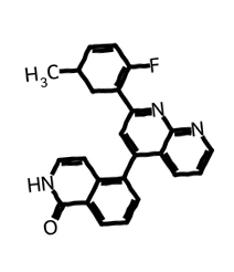 CC1C=CC(F)=C(c2cc(-c3cccc4c(=O)[nH]ccc34)c3cccnc3n2)C1